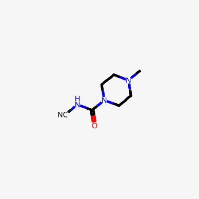 CN1CCN(C(=O)NC#N)CC1